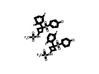 O=S(=O)(NC1CC(c2cc(F)ccc2F)(S(=O)(=O)c2ccc(Cl)cc2)C1)C(F)(F)F.O=S(=O)(NC1CC(c2cc(F)ccc2F)(S(=O)(=O)c2ccc(Cl)cc2)C1)C(F)(F)F